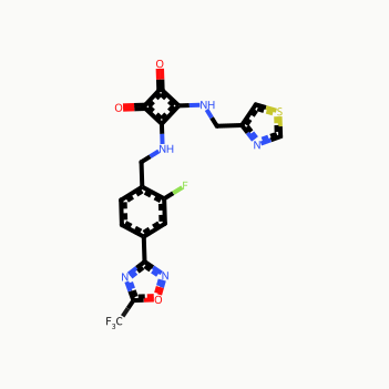 O=c1c(NCc2cscn2)c(NCc2ccc(-c3noc(C(F)(F)F)n3)cc2F)c1=O